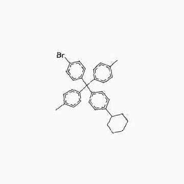 Cc1ccc(C(c2ccc(C)cc2)(c2ccc(Br)cc2)c2ccc(C3CCCCC3)cc2)cc1